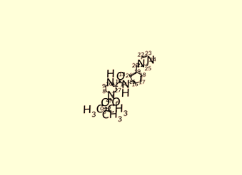 CC(C)(C)OC(=O)N1CCNC(C(=O)Nc2cccc(Cn3ccnc3)c2)C1